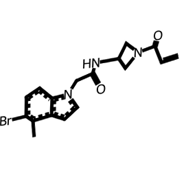 C=CC(=O)N1CC(NC(=O)Cn2ccc3c(C)c(Br)ccc32)C1